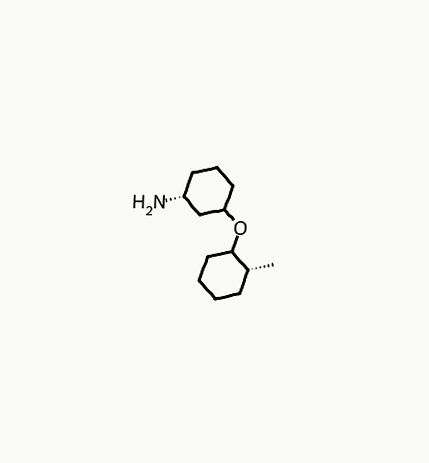 C[C@@H]1CCCCC1OC1CCC[C@@H](N)C1